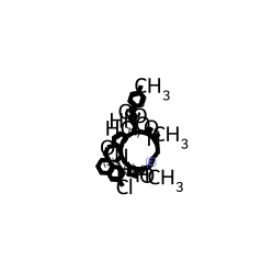 CO[C@H]1/C=C/CCN(C)C(=O)C[C@](O)(C(=O)NS(=O)(=O)c2ccc(C)cc2)c2ccc3c(c2)N(C[C@@H]2CC[C@H]21)C[C@@]1(CCCc2cc(Cl)ccc21)CO3